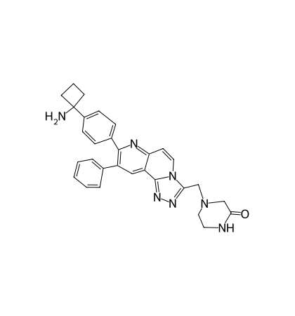 NC1(c2ccc(-c3nc4ccn5c(CN6CCNC(=O)C6)nnc5c4cc3-c3ccccc3)cc2)CCC1